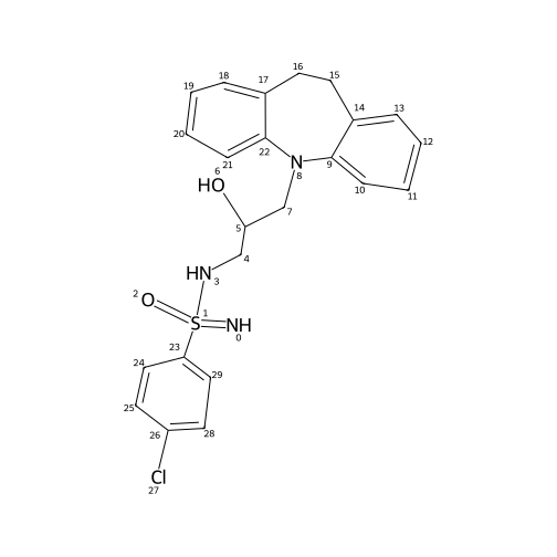 N=S(=O)(NCC(O)CN1c2ccccc2CCc2ccccc21)c1ccc(Cl)cc1